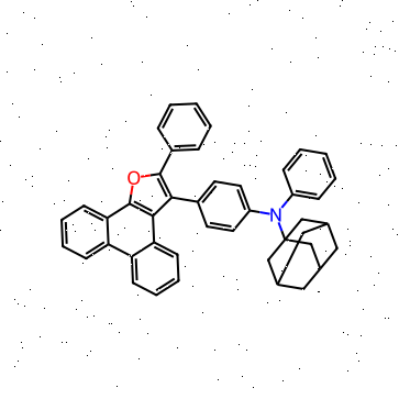 c1ccc(-c2oc3c4ccccc4c4ccccc4c3c2-c2ccc(N(c3ccccc3)C34CC5CC(CC(C5)C3)C4)cc2)cc1